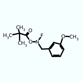 COc1cccc(CN(F)OC(=O)C(C)(C)C)c1